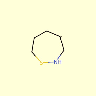 [CH]1CCCSNC1